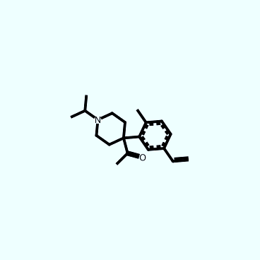 C=Cc1ccc(C)c(C2(C(C)=O)CCN(C(C)C)CC2)c1